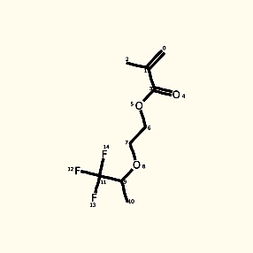 C=C(C)C(=O)OCCOC(C)C(F)(F)F